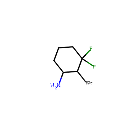 CC(C)C1C(N)CCCC1(F)F